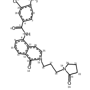 Cc1ccc(C(=O)Nc2cccc3c(=O)n(CCCN4CCCC4=O)ccc23)cc1Cl